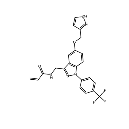 C=CC(=O)NCc1nn(-c2ccc(C(F)(F)F)cc2)c2ccc(OCc3cc[nH]n3)cc12